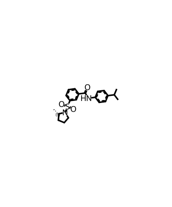 CC(C)c1ccc(NC(=O)c2cccc(S(=O)(=O)N3CCC[C@@H]3C)c2)cc1